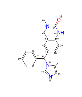 CN1Cc2cc(C(c3ccccc3)n3ccnc3)ccc2NC1=O